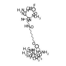 CN[C@@H](C)C(=O)N[C@H](C(=O)N1Cc2cc(OCCCCCCCCC(=O)NCCn3nc4c(c3C#N)-c3cnc(N)c(c3)N3CCC[C@@H]3c3cc(F)ccc3C(=O)N(C)C4)ccc2C[C@H]1C(N)=O)C(C)(C)C